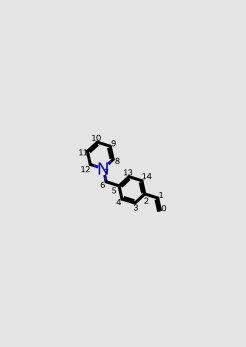 C=Cc1ccc(CN2C=CC=CC2)cc1